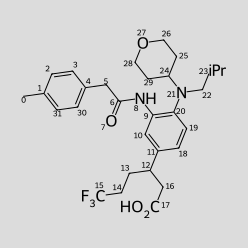 Cc1ccc(CC(=O)Nc2cc(C(CCC(F)(F)F)CC(=O)O)ccc2N(CC(C)C)C2CCOCC2)cc1